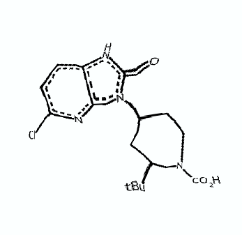 CC(C)(C)C1CC(n2c(=O)[nH]c3ccc(Cl)nc32)CCN1C(=O)O